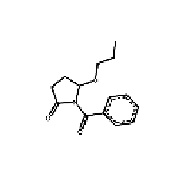 CCCOC1CCC(=O)N1C(=O)c1ccccc1